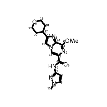 COc1nc(C(=O)Nc2ccn(C)n2)cn2cc(C3CCOCC3)nc12